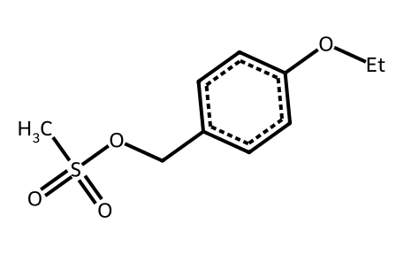 CCOc1ccc(COS(C)(=O)=O)cc1